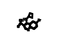 O=C(O)c1cnc2ccc(Br)cc2c1NC1CCC1